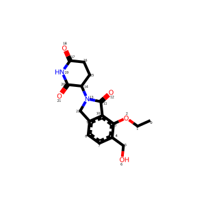 CCOc1c(CO)ccc2c1C(=O)N(C1CCC(=O)NC1=O)C2